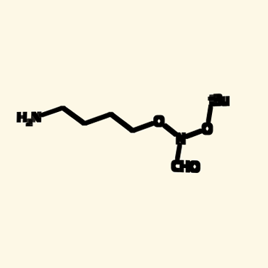 CC(C)(C)ON(C=O)OCCCCN